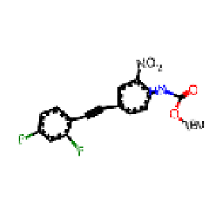 CC(C)(C)OC(=O)Nc1ccc(C#Cc2ccc(F)cc2F)cc1[N+](=O)[O-]